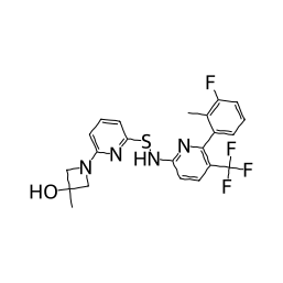 Cc1c(F)cccc1-c1nc(NSc2cccc(N3CC(C)(O)C3)n2)ccc1C(F)(F)F